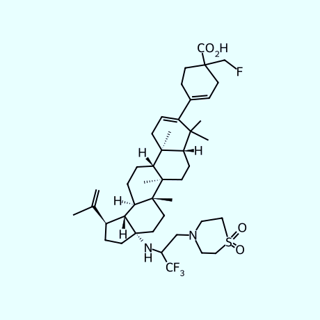 C=C(C)[C@@H]1CC[C@]2(NC(CN3CCS(=O)(=O)CC3)C(F)(F)F)CC[C@]3(C)[C@H](CC[C@@H]4[C@@]5(C)CC=C(C6=CCC(CF)(C(=O)O)CC6)C(C)(C)[C@@H]5CC[C@]43C)[C@@H]12